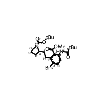 COC(=O)c1c(NC(=O)C(C)(C)C)ccc(Br)c1CCC1CCCN1C(=O)OC(C)(C)C